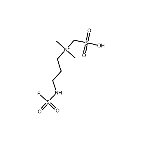 C[N+](C)(CCCNS(=O)(=O)F)CS(=O)(=O)O